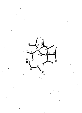 CC(C)[Si](O[Si](C(C)C)(C(C)C)C(C)C)(C(C)C)C(C)C.OCCBr